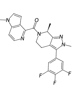 C[C@H]1c2nn(C)c(-c3cc(F)c(F)c(F)c3)c2CCN1C(=O)c1nccc2c1ccn2C